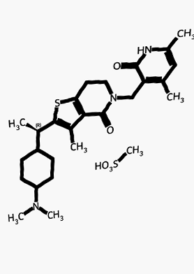 CS(=O)(=O)O.Cc1cc(C)c(CN2CCc3sc([C@H](C)C4CCC(N(C)C)CC4)c(C)c3C2=O)c(=O)[nH]1